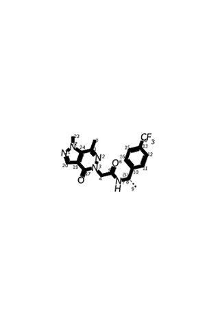 Cc1nn(CC(=O)N[C@@H](C)c2ccc(C(F)(F)F)cc2)c(=O)c2cnn(C)c12